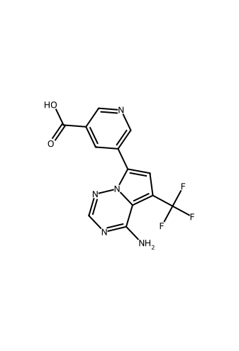 Nc1ncnn2c(-c3cncc(C(=O)O)c3)cc(C(F)(F)F)c12